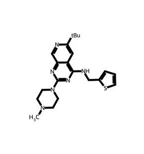 CN1CCN(c2nc(NCc3cccs3)c3cc(C(C)(C)C)ncc3n2)CC1